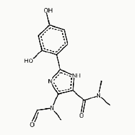 CN(C)C(=O)c1[nH]c(-c2ccc(O)cc2O)nc1N(C)C=O